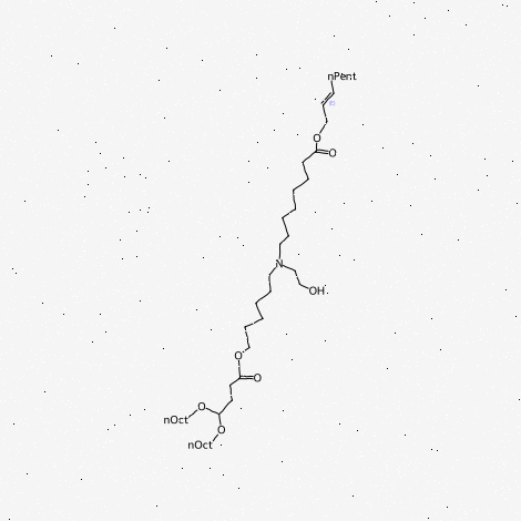 CCCCC/C=C/COC(=O)CCCCCCCN(CCO)CCCCCCOC(=O)CCC(OCCCCCCCC)OCCCCCCCC